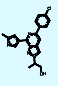 CC(CO)n1cc2cc(-c3ccc(Cl)cc3)nc(-c3cnn(C)c3)c2n1